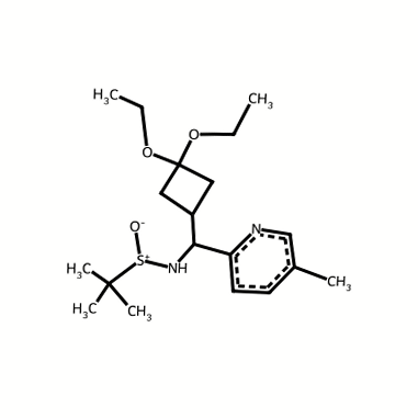 CCOC1(OCC)CC(C(N[S+]([O-])C(C)(C)C)c2ccc(C)cn2)C1